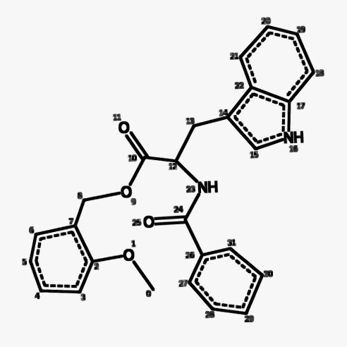 COc1ccccc1COC(=O)C(Cc1c[nH]c2ccccc12)NC(=O)c1ccccc1